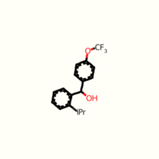 CC(C)c1ccccc1C(O)c1ccc(OC(F)(F)F)cc1